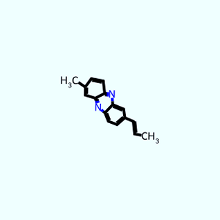 C/C=C/c1ccc2nc3cc(C)ccc3nc2c1